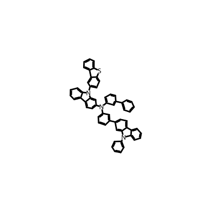 c1ccc(-c2cccc(N(c3cccc(-c4ccc5c6ccccc6n(-c6ccccc6)c5c4)c3)c3ccc4c5ccccc5n(-c5ccc6sc7ccccc7c6c5)c4c3)c2)cc1